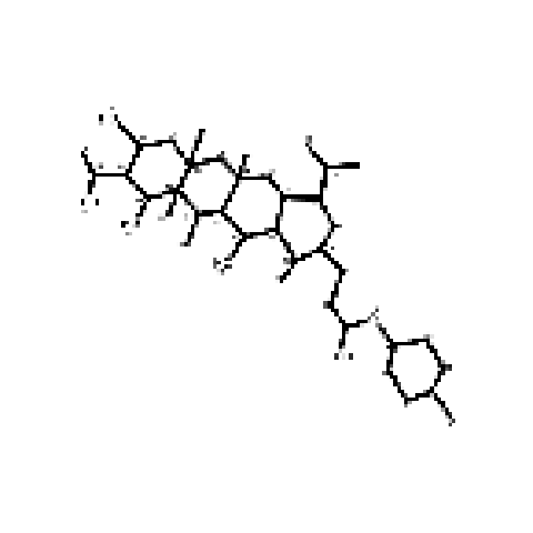 CC1CCC(OC(O)CCC2CC(C(C)C)C3CC4(C)CC5(C)CC(O)C(C(C)O)C(O)C5(C)C(C)C4C(O)C3C2C)CC1